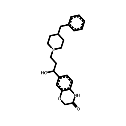 O=C1COc2cc(C(O)CCN3CCC(Cc4ccccc4)CC3)ccc2N1